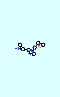 CC1(C)c2ccccc2N(c2ccc(-c3cccc4c3oc3ccccc34)cc2)c2ccc(-c3ccc4[nH]c5ccccc5c4c3)cc21